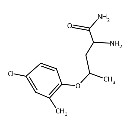 Cc1cc(Cl)ccc1OC(C)CC(N)C(N)=O